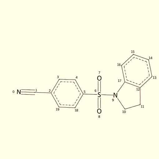 N#Cc1ccc(S(=O)(=O)N2CCc3ccccc32)cc1